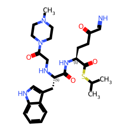 CC(C)SC(=O)[C@H](CCC(=O)C=N)NC(=O)[C@H](Cc1c[nH]c2ccccc12)NCC(=O)N1CCN(C)CC1